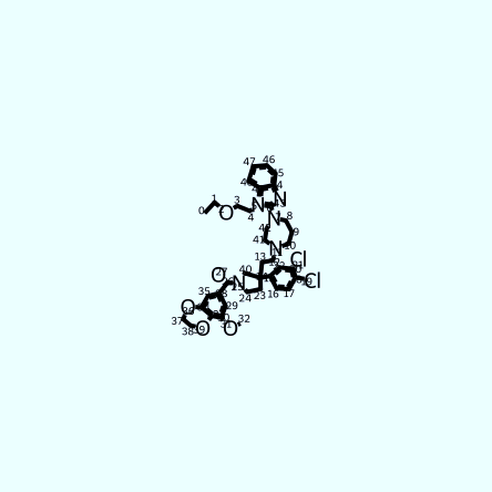 CCOCCn1c(N2CCCN(CCC3(c4ccc(Cl)c(Cl)c4)CCN(C(=O)c4cc(OC)c5c(c4)OCCO5)C3)CC2)nc2ccccc21